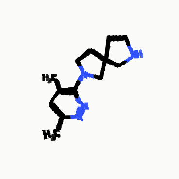 Cc1cc(C)c(N2CCC3(CCNC3)C2)nn1